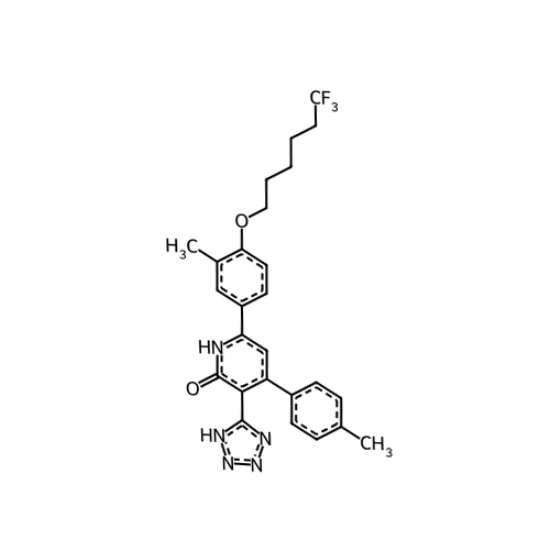 Cc1ccc(-c2cc(-c3ccc(OCCCCCC(F)(F)F)c(C)c3)[nH]c(=O)c2-c2nnn[nH]2)cc1